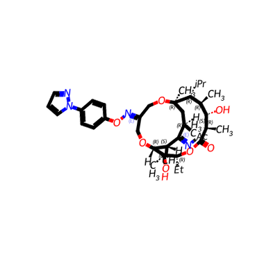 CC[C@H]1OC(=O)[C@H](C)[C@@H](O)[C@H](C)[C@@H](C(C)C)[C@@]2(C)C[C@@H](C)/C(=N\C(C)=O)[C@H](C)[C@@H](OC/C(=N\Oc3ccc(-n4cccn4)cc3)CO2)[C@]1(C)O